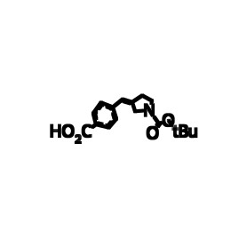 CC(C)(C)OC(=O)N1CCC(=Cc2ccc(C(=O)O)cc2)C1